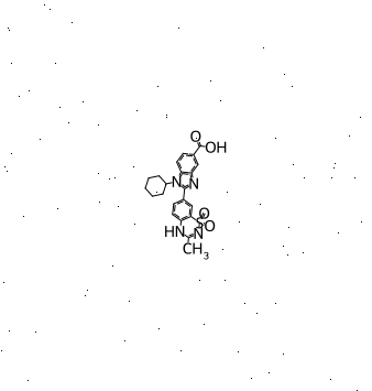 CC1=NS(=O)(=O)c2cc(-c3nc4cc(C(=O)O)ccc4n3C3CCCCC3)ccc2N1